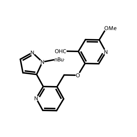 C[CH]C[CH]n1nccc1-c1ncccc1COc1cnc(OC)cc1C=O